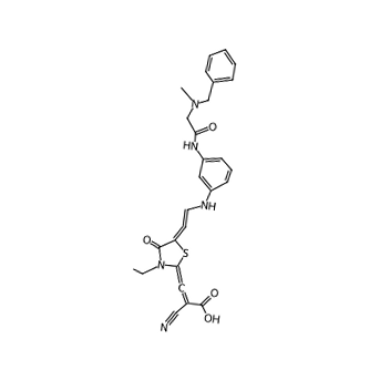 CCn1c(=C=C(C#N)C(=O)O)sc(=C=CNc2cccc(NC(=O)CN(C)Cc3ccccc3)c2)c1=O